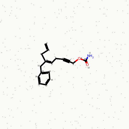 C=CCC(=CCC#CCOC(N)=O)Cc1ccccc1